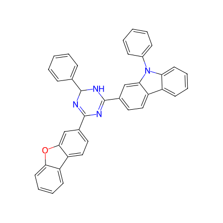 c1ccc(C2N=C(c3ccc4c(c3)oc3ccccc34)N=C(c3ccc4c5ccccc5n(-c5ccccc5)c4c3)N2)cc1